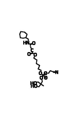 CC(CO)(CO)COP(=O)(OCCC#N)OCCCCCCOC(=O)CCC(=O)NCC1CCCCCC1